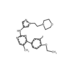 CCOc1ccc(-c2nc(Nc3cnn(CCN4CCOCC4)c3)ncc2C)cc1F